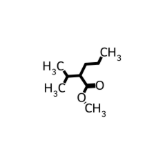 CCCC(C(=O)OC)C(C)C